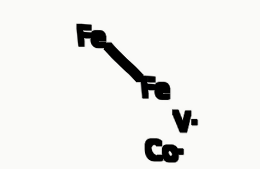 [Co].[Fe][Fe].[V]